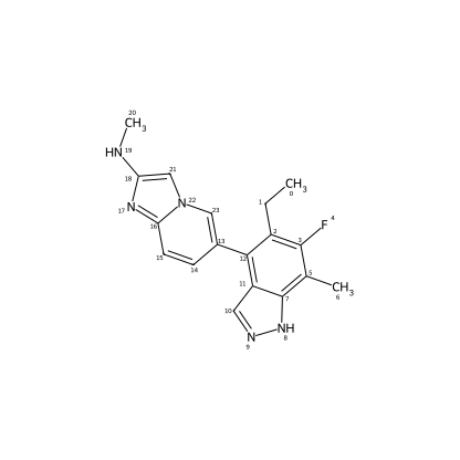 CCc1c(F)c(C)c2[nH]ncc2c1-c1ccc2nc(NC)cn2c1